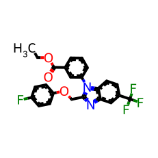 CCOC(=O)c1cccc(-n2c(COc3ccc(F)cc3)nc3cc(C(F)(F)F)ccc32)c1